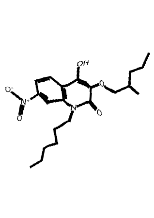 CCCCCCn1c(=O)c(OCC(C)CCC)c(O)c2ccc([N+](=O)[O-])cc21